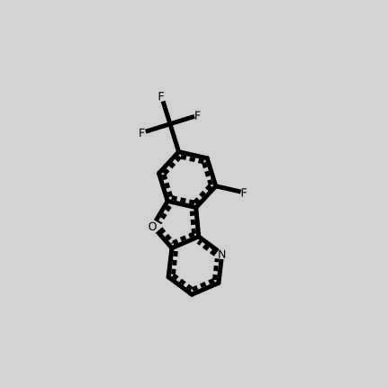 Fc1cc(C(F)(F)F)cc2oc3cccnc3c12